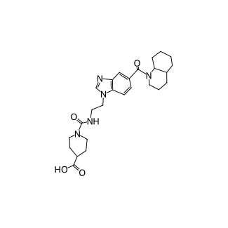 O=C(O)C1CCN(C(=O)NCCn2cnc3cc(C(=O)N4CCCC5CCCCC54)ccc32)CC1